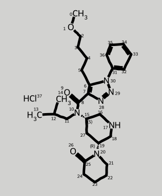 COCCCCc1c(C(=O)N(CC(C)C)[C@@H]2CNC[C@H](N3CCCCC3=O)C2)nnn1-c1ccccc1.Cl